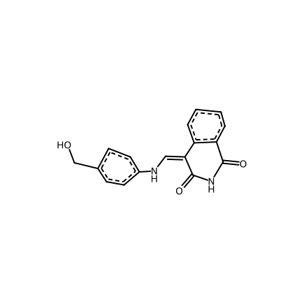 O=C1NC(=O)c2ccccc2C1=CNc1ccc(CO)cc1